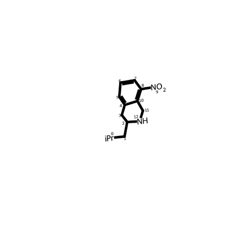 CC(C)CC1Cc2cccc([N+](=O)[O-])c2CN1